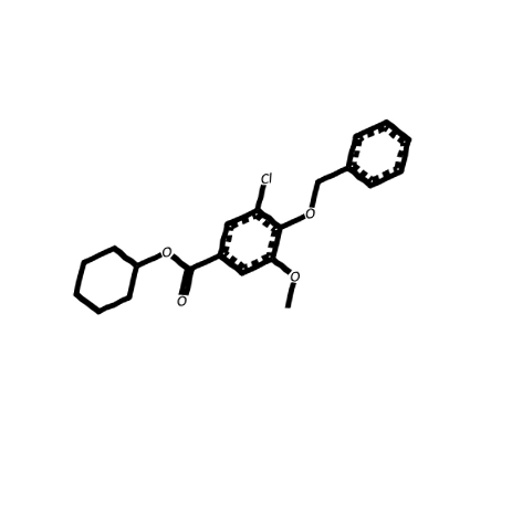 COc1cc(C(=O)OC2CCCCC2)cc(Cl)c1OCc1ccccc1